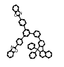 c1ccc(C2(c3ccccc3)c3cc(-c4cccc(-c5cc(-c6ccc(-c7nc8ccccc8o7)cc6)cc(-c6ccc(-c7nc8ccccc8o7)cc6)c5)c4)ccc3-c3c2ccc2ccccc32)cc1